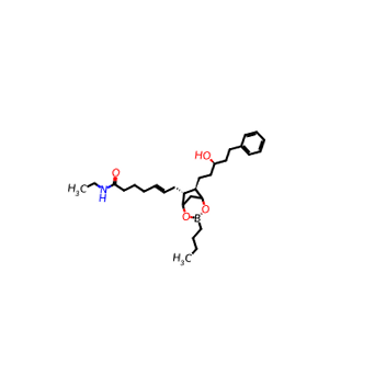 CCCCB1OC2CC(O1)[C@H](CC[C@@H](O)CCc1ccccc1)[C@H]2CC=CCCCC(=O)NCC